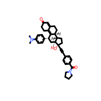 CN(C)c1ccc([C@H]2C[C@@]3(C)[C@@H](CC[C@@]3(O)C#Cc3ccc(C(=O)N4CCCC4)cc3)[C@@H]3CCC4=CC(=O)CCC4=C32)cc1